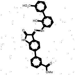 COC(=O)c1cccc(-c2ccc3c(c2)NC(=O)C3=NNc2cccc(-c3cccc(C(=O)O)c3)c2O)c1